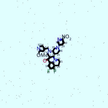 COc1cc(CN(Cc2cn3c4c(c(F)c(F)cc4c2=O)CCC3)[C@H]2CCCN(c3ccc([N+](=O)[O-])nc3)C2)ccn1